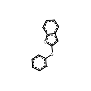 [c]1ccccc1Sc1cc2ccccc2o1